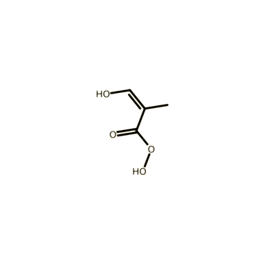 CC(=CO)C(=O)OO